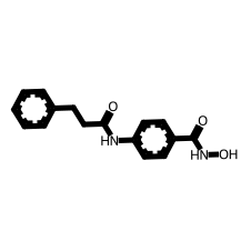 O=C(CCc1ccccc1)Nc1ccc(C(=O)NO)cc1